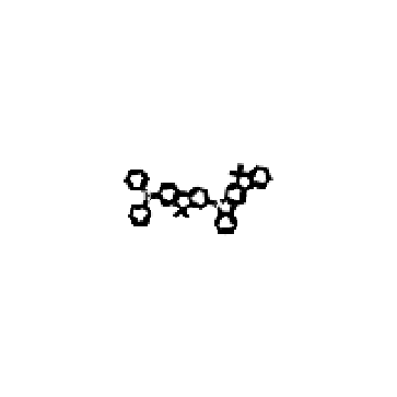 CC1(C)c2cc(N(c3ccccc3)c3ccccc3)ccc2-c2ccc(-n3c4ccccc4c4cc5c(cc43)C(C)(C)c3ccccc3-5)cc21